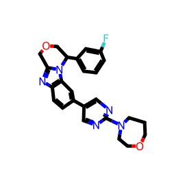 Fc1cccc(C2COCc3nc4ccc(-c5cnc(N6CCCOCC6)nc5)cc4n32)c1